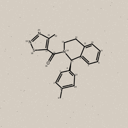 Cc1ccc([C@@H]2c3ccccc3CCN2C(=O)c2snnc2C)cc1